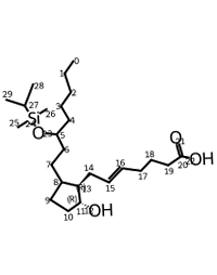 CCCCCC(CCC1CC[C@@H](O)[C@@H]1CC=CCCCC(=O)O)O[Si](C)(C)C(C)C